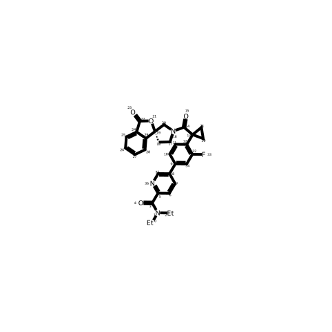 CCN(CC)C(=O)c1ccc(-c2ccc(C3(C(=O)N4CC[C@@]5(C4)OC(=O)c4ccccc45)CC3)c(F)c2)cn1